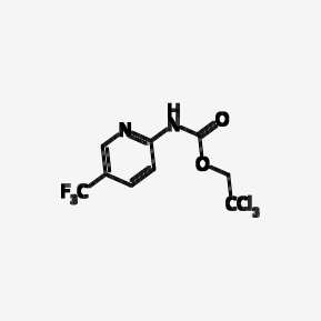 O=C(Nc1ccc(C(F)(F)F)cn1)OCC(Cl)(Cl)Cl